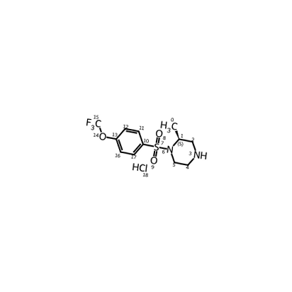 C[C@H]1CNCCN1S(=O)(=O)c1ccc(OC(F)(F)F)cc1.Cl